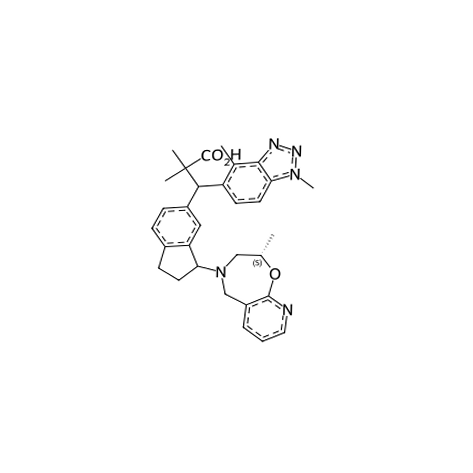 Cc1c(C(c2ccc3c(c2)C(N2Cc4cccnc4O[C@@H](C)C2)CC3)C(C)(C)C(=O)O)ccc2c1nnn2C